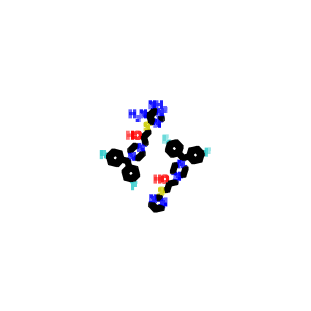 Nc1ncnc(SCC(O)CN2CCN(C(c3ccc(F)cc3)c3ccc(F)cc3)CC2)c1N.OC(CSc1ncccn1)CN1CCN(C(c2ccc(F)cc2)c2ccc(F)cc2)CC1